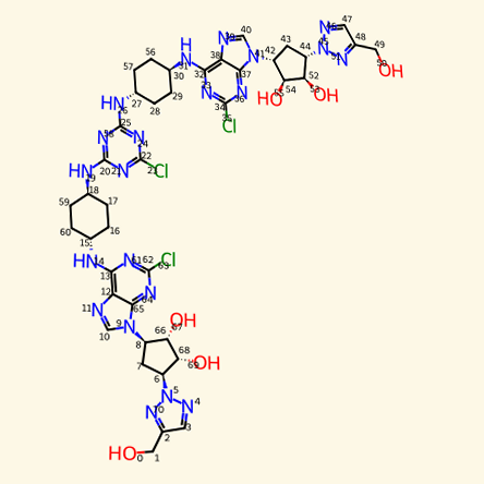 OCc1cnn([C@H]2C[C@@H](n3cnc4c(N[C@H]5CC[C@H](Nc6nc(Cl)nc(N[C@H]7CC[C@H](Nc8nc(Cl)nc9c8ncn9[C@@H]8C[C@H](n9ncc(CO)n9)[C@@H](O)[C@H]8O)CC7)n6)CC5)nc(Cl)nc43)[C@H](O)[C@@H]2O)n1